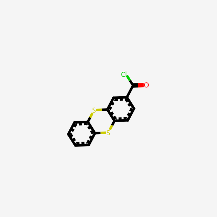 O=C(Cl)c1ccc2c(c1)Sc1ccccc1S2